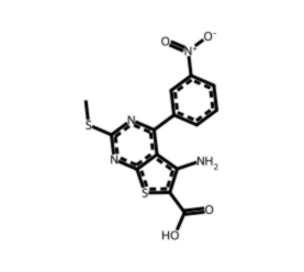 CSc1nc(-c2cccc([N+](=O)[O-])c2)c2c(N)c(C(=O)O)sc2n1